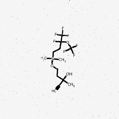 C#CC(C)(O)CCO[Si](C)(C)CCC(F)(OC(F)(F)F)C(F)(F)F